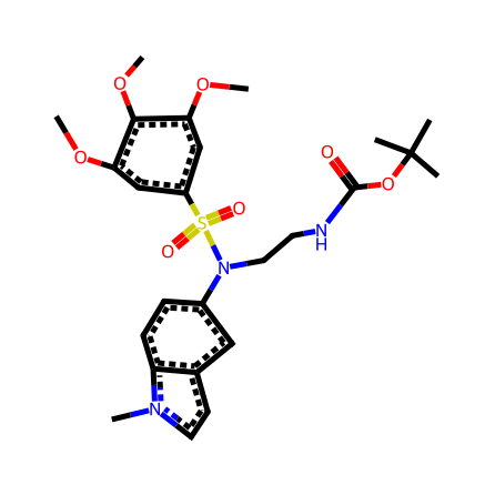 COc1cc(S(=O)(=O)N(CCNC(=O)OC(C)(C)C)c2ccc3c(ccn3C)c2)cc(OC)c1OC